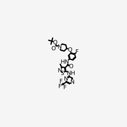 Cc1nsc(Nc2cncc(C(F)(F)F)n2)c1C(=O)Nc1ccc(F)c(OC2CCN(C(=O)OC(C)(C)C)CC2)c1